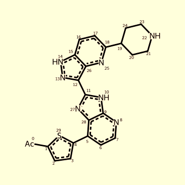 CC(=O)c1ccc(-c2ccnc3[nH]c(-c4n[nH]c5ccc(C6CCNCC6)nc45)nc23)s1